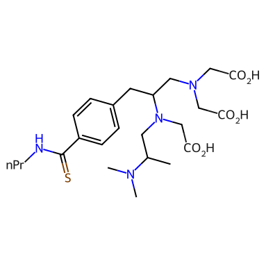 CCCNC(=S)c1ccc(CC(CN(CC(=O)O)CC(=O)O)N(CC(=O)O)CC(C)N(C)C)cc1